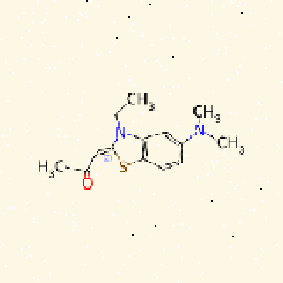 CCN1/C(=C/C(C)=O)Sc2ccc(N(C)C)cc21